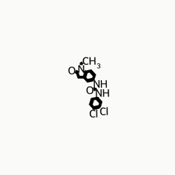 CCN1C(=O)Cc2cc(NC(=O)Nc3ccc(Cl)c(Cl)c3)ccc21